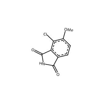 COc1ccc2c(c1Cl)C(=O)NC2=O